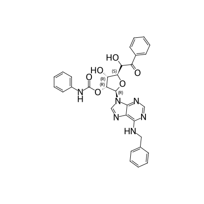 O=C(Nc1ccccc1)O[C@@H]1[C@H](O)[C@@H](C(O)C(=O)c2ccccc2)O[C@H]1n1cnc2c(NCc3ccccc3)ncnc21